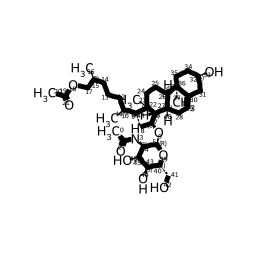 CC(=O)N[C@H]1[C@H](O[C@H]2C[C@H]([C@H](C)CCC[C@@H](C)COC(C)=O)[C@@]3(C)CC[C@H]4[C@@H](CC=C5C[C@@H](O)CC[C@@]54C)[C@H]23)O[C@H](CO)[C@@H](O)[C@@H]1O